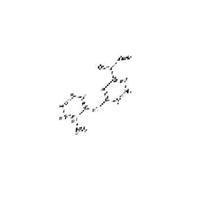 COC(=O)c1cncc(Oc2cccnc2[N+](=O)[O-])c1